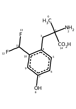 CC(N)(Cc1ccc(O)cc1C(F)F)C(=O)O